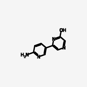 Nc1ccc(-c2cncc(O)n2)cn1